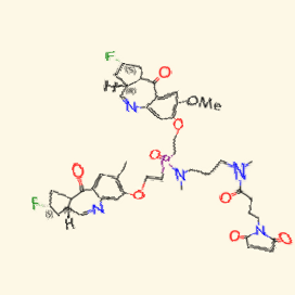 COc1cc2c(cc1OCCP(=O)(CCOc1cc3c(cc1C)C(=O)C1C[C@@H](F)C[C@H]1C=N3)N(C)CCCN(C)C(=O)CCCN1C(=O)C=CC1=O)N=C[C@@H]1C[C@H](F)CC1C2=O